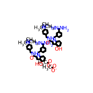 CC(=O)[O-].CC(=O)[O-].C[N+](C)(C)c1ccc(CNC(=O)c2cc3c(O)cccc3n2Cc2cccc(C(=N)N)c2)cc1.C[N+](C)(C)c1ccc(CNC(=O)c2cc3c(O)cccc3n2Cc2cccc(C(=N)N)c2)cc1